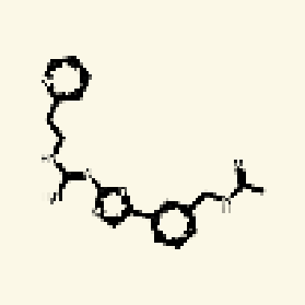 CC(=O)NCc1cccc(-c2csc(/N=C(\N)NCCc3ccccn3)n2)c1